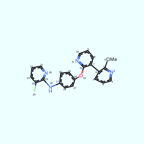 COc1ncccc1-c1cccnc1Oc1ccc(Nc2ncccc2F)cc1